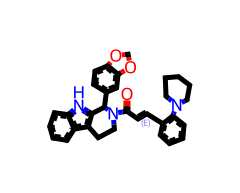 O=C(/C=C/c1ccccc1N1CCCCC1)N1CCc2c([nH]c3ccccc23)C1c1ccc2c(c1)OCO2